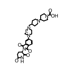 O=C1CCC(N2C(=O)c3ccc(N4CCN(CC5CCN(C6CCN(C(=O)O)CC6)CC5)CC4)cc3C2=O)C(=O)N1